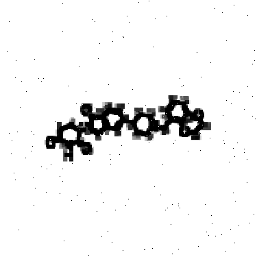 O=C1CCC(N2Cc3cc(C4CCN(Cc5cccc6c5OCCO6)CC4)ccc3C2=O)C(=O)N1